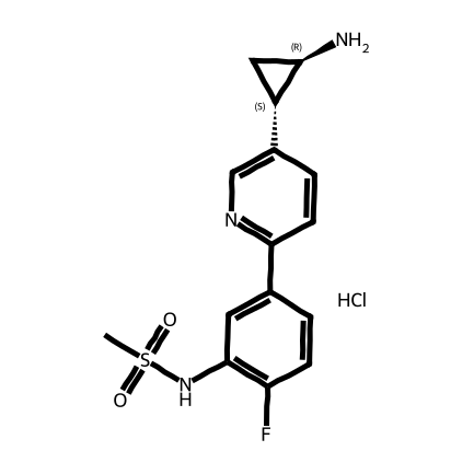 CS(=O)(=O)Nc1cc(-c2ccc([C@@H]3C[C@H]3N)cn2)ccc1F.Cl